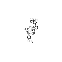 CC1=NN(c2ccc(C)cc2)C(=O)C1=NNc1cccc(-c2cccc(OC(=O)O)c2)c1O